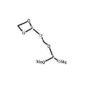 COP(OC)OCOP1OCO1